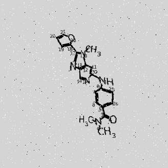 CN(C)C(=O)c1ccc(Nc2cc3c(cn2)nc(-c2ccco2)n3C)cc1